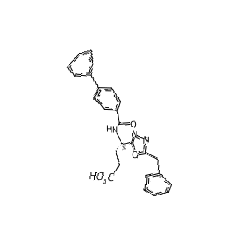 O=C(O)CC[C@H](NC(=O)c1ccc(-c2ccccc2)cc1)c1nnc(Cc2ccccc2)o1